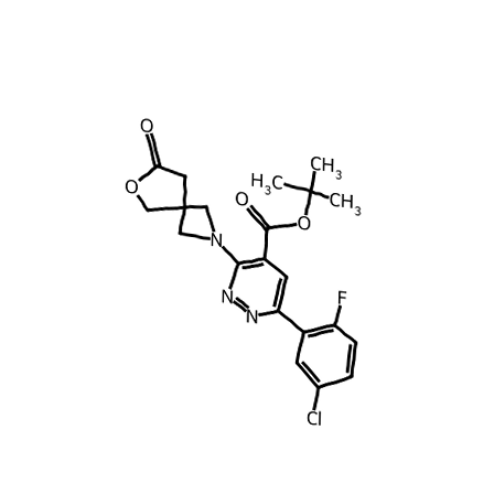 CC(C)(C)OC(=O)c1cc(-c2cc(Cl)ccc2F)nnc1N1CC2(COC(=O)C2)C1